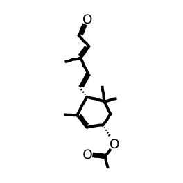 CC(=O)O[C@@H]1C=C(C)[C@H](/C=C/C(C)=C/C=O)C(C)(C)C1